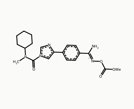 COC(=O)O/N=C(\N)c1ccc(-c2cn(C(=O)N(C)C3CCCCC3)cn2)cc1